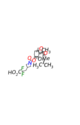 CO[C@@H]1[C@H](OC(=O)N2CC(CC(F)(F)C(=O)O)C2)CC[C@]2(CO2)[C@H]1[C@@]1(C)O[C@@H]1CC=C(C)C